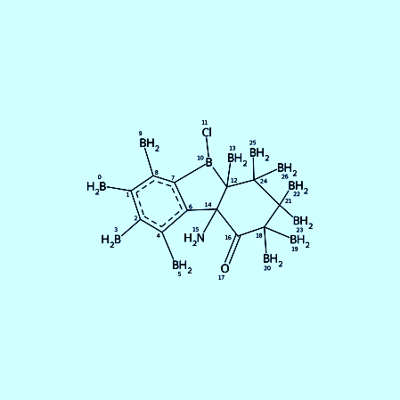 Bc1c(B)c(B)c2c(c1B)B(Cl)C1(B)C2(N)C(=O)C(B)(B)C(B)(B)C1(B)B